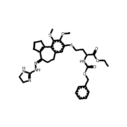 CCOC(=O)C(CCSc1cc2c(c(OC)c1OC)C1=C(CCC1)C(=NNC1=NCCN1)CC2)NC(=O)OCc1ccccc1